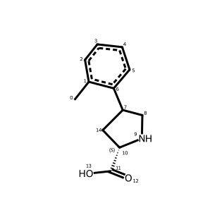 Cc1ccccc1C1CN[C@H](C(=O)O)C1